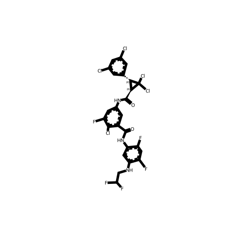 O=C(Nc1cc(NCC(F)F)c(F)cc1F)c1cc(NC(=O)[C@H]2[C@H](c3cc(Cl)cc(Cl)c3)C2(Cl)Cl)cc(F)c1Cl